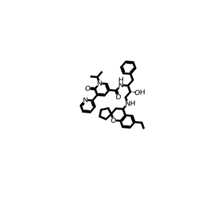 CCc1ccc2c(c1)C(NC[C@@H](O)C(Cc1ccccc1)NC(=O)c1cc(-c3ccccn3)c(=O)n(C(C)C)c1)CC1(CCCC1)O2